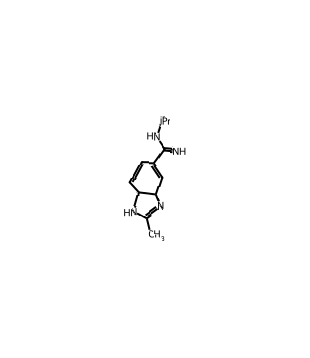 CC1=NC2C=C(C(=N)NC(C)C)C=CC2N1